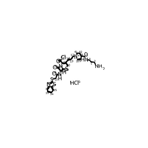 Cl.NCCCNC(=O)c1cc[n+](C/C=C/C2=C(C(=O)Cl)N3C(=O)[C@@H](NC(=O)CSc4nc5ccccc5s4)[C@H]3SC2)cc1